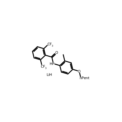 CCCCCOc1ccc(PC(=O)c2c(C(F)(F)F)cccc2C(F)(F)F)c(C)c1.[LiH]